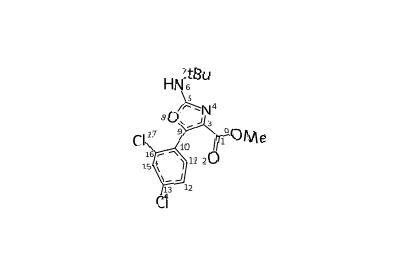 COC(=O)c1nc(NC(C)(C)C)oc1-c1ccc(Cl)cc1Cl